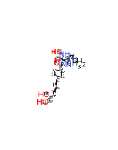 C=NC(C)(C)[C@H](NC(=O)c1ccc(C#CC#CCC(O)CO)cc1)C(=O)NO